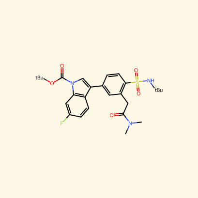 CN(C)C(=O)Cc1cc(-c2cn(C(=O)OC(C)(C)C)c3cc(F)ccc23)ccc1S(=O)(=O)NC(C)(C)C